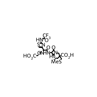 CSCC1(C(=O)O)CS[C@@H]2C(NC(=O)C(=NOCC(=O)O)c3csc(NC(=O)C(F)(F)F)n3)C(=O)N2C1